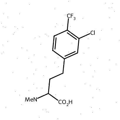 CNC(CCc1ccc(C(F)(F)F)c(Cl)c1)C(=O)O